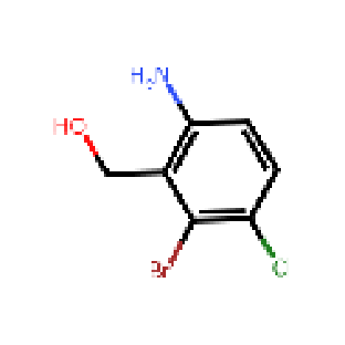 Nc1ccc(Cl)c(Br)c1CO